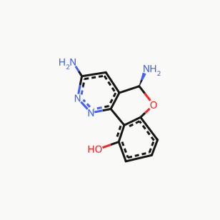 Nc1cc2c(nn1)-c1c(O)cccc1O[C@@H]2N